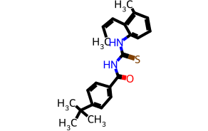 C/C=C\c1c(C)cccc1NC(=S)NC(=O)c1ccc(C(C)(C)C)cc1